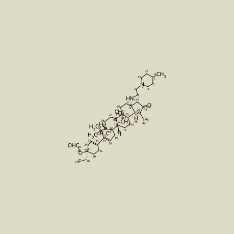 CC1CCN(CCN[C@@]23CC[C@]4(C)[C@H](CC[C@@H]5[C@@]6(C)CC=C(C7=CC[C@](CF)(OC=O)CC7)C(C)(C)[C@@H]6CC[C@]54C)C2=C(C(C)C)C(=O)C3)CC1